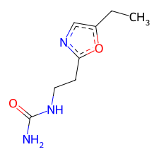 CCc1cnc(CCNC(N)=O)o1